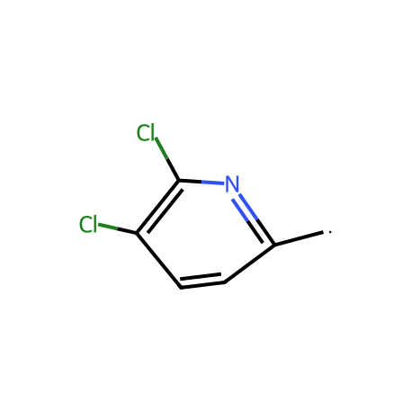 [CH2]c1ccc(Cl)c(Cl)n1